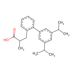 CC(Cc1ccccc1-c1cc(C(C)C)cc(C(C)C)c1)C(=O)O